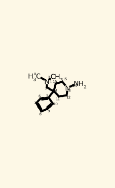 CN(C)CC1(c2ccccc2)CCN(N)CC1